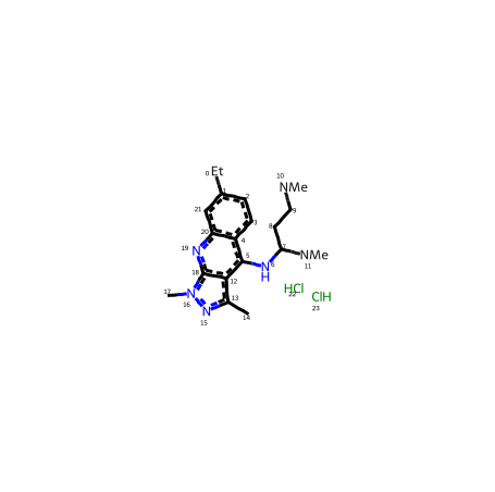 CCc1ccc2c(NC(CCNC)NC)c3c(C)nn(C)c3nc2c1.Cl.Cl